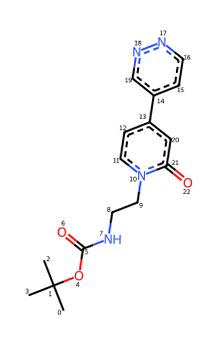 CC(C)(C)OC(=O)NCCn1ccc(-c2ccnnc2)cc1=O